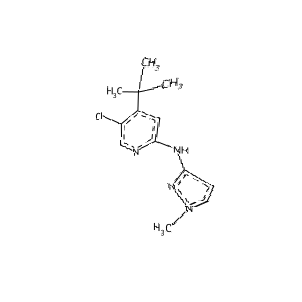 Cn1ccc(Nc2cc(C(C)(C)C)c(Cl)cn2)n1